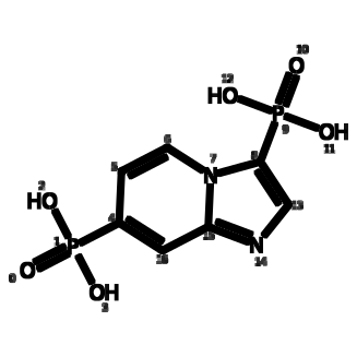 O=P(O)(O)c1ccn2c(P(=O)(O)O)cnc2c1